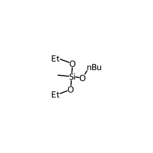 CCCCO[Si](C)(OCC)OCC